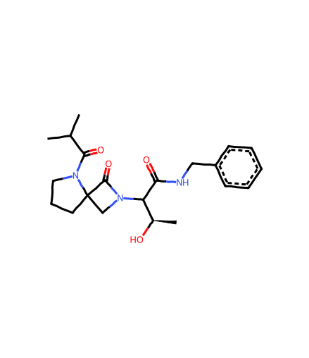 CC(C)C(=O)N1CCCC12CN(C(C(=O)NCc1ccccc1)[C@@H](C)O)C2=O